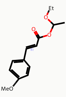 CCOC(C)OC(=O)/C=C/c1ccc(OC)cc1